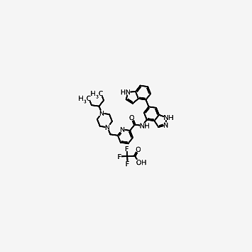 CCC(CC)N1CCN(Cc2cccc(C(=O)Nc3cc(-c4cccc5[nH]ccc45)cc4[nH]ncc34)n2)CC1.O=C(O)C(F)(F)F